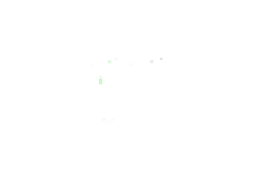 [Cl-].[Cl-].[Cl-].[Cl-].[Cl-].[Ra+2].[Rh+3]